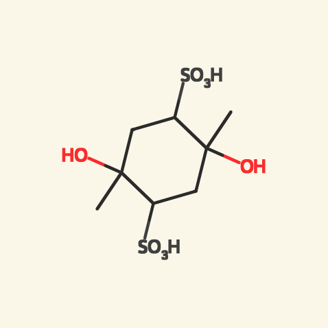 CC1(O)CC(S(=O)(=O)O)C(C)(O)CC1S(=O)(=O)O